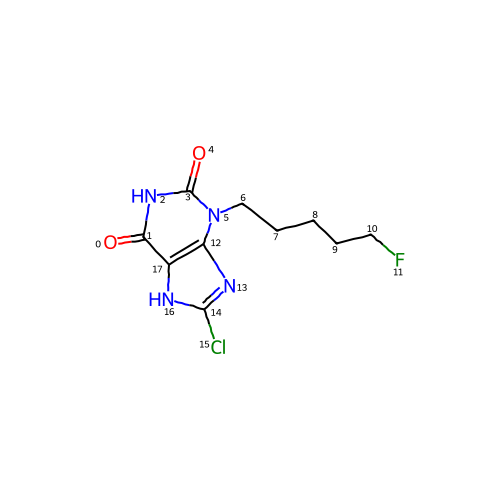 O=c1[nH]c(=O)n(CCCCCF)c2nc(Cl)[nH]c12